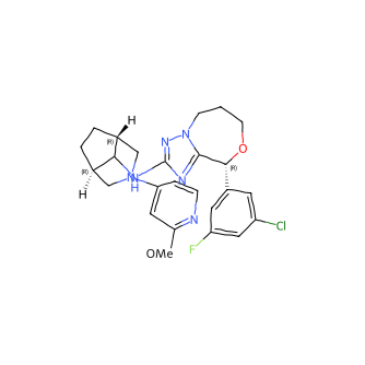 COc1cc(N2C[C@H]3CC[C@H](C2)C3Nc2nc3n(n2)CCCO[C@@H]3c2cc(F)cc(Cl)c2)ccn1